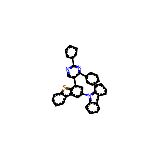 c1ccc(-c2ncc(-c3cc(-n4c5ccccc5c5ccccc54)cc4c3sc3ccccc34)c(-c3ccccc3)n2)cc1